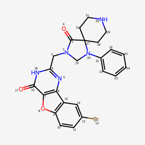 O=C1N(Cc2nc3c(oc4ccc(Br)cc43)c(=O)[nH]2)CN(c2ccccc2)C12CCNCC2